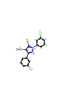 O=Cc1c(-c2cccc(Cl)c2)nn(-c2cccc(Cl)c2)c1Br